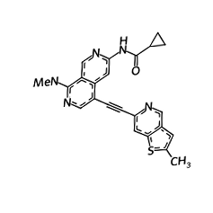 CNc1ncc(C#Cc2cc3sc(C)cc3cn2)c2cc(NC(=O)C3CC3)ncc12